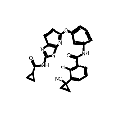 N#CC1(c2cccc(C(=O)Nc3cccc(Oc4ccc5nc(NC(=O)C6CC6)sc5n4)c3)c2Cl)CC1